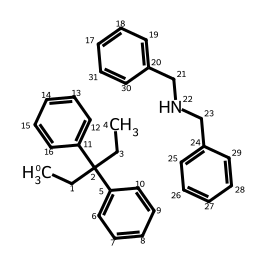 CCC(CC)(c1ccccc1)c1ccccc1.c1ccc(CNCc2ccccc2)cc1